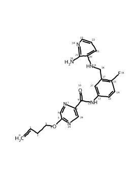 C=CCCOc1cnc(C(=O)Nc2ccc(F)c(CNc3cccnc3N)c2)cn1